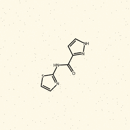 O=C(Nc1nccs1)c1cc[nH]n1